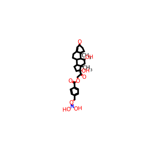 C[C@]12CCC(=O)C=C1CCC1C2[C@@H](O)C[C@@]2(C)C1CC[C@]2(O)C(=O)COC(=O)c1ccc(CON(O)O)cc1